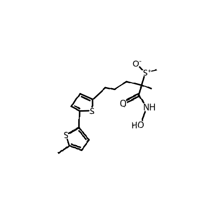 Cc1ccc(-c2ccc(CCCC(C)(C(=O)NO)[S+](C)[O-])s2)s1